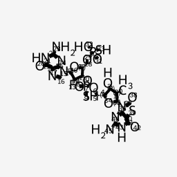 C[C@@H]1[C@@H](O)[C@@H](COP(=O)(S)OC2[C@@H](F)[C@H](n3cnc4c(=O)[nH]c(N)nc43)O[C@@H]2COP(=O)(O)S)O[C@H]1n1c(=O)sc2c(=O)[nH]c(N)nc21